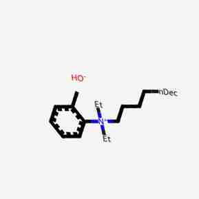 CCCCCCCCCCCCCC[N+](CC)(CC)c1ccccc1C.[OH-]